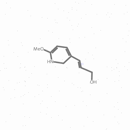 COC1=CC=C(/C=C/CO)CN1